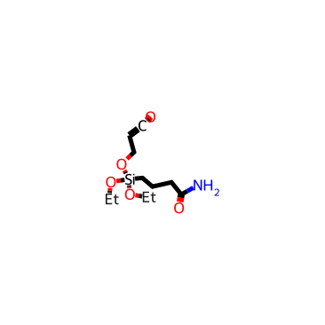 CCO[Si](CCCC(N)=O)(OCC)OCC=C=O